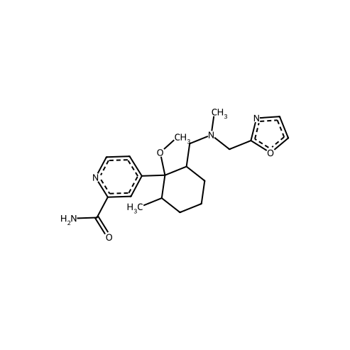 COC1(c2ccnc(C(N)=O)c2)C(C)CCCC1CN(C)Cc1ncco1